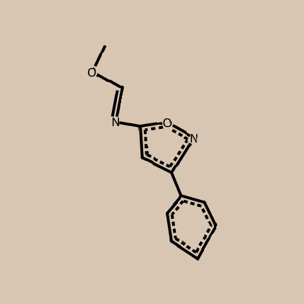 CO/C=N/c1cc(-c2ccccc2)no1